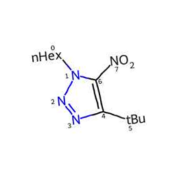 CCCCCCn1nnc(C(C)(C)C)c1[N+](=O)[O-]